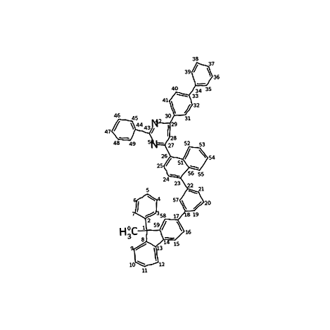 CC1(c2ccccc2)c2ccccc2-c2ccc(-c3cccc(-c4ccc(-c5cc(-c6ccc(-c7ccccc7)cc6)nc(-c6ccccc6)n5)c5ccccc45)c3)cc21